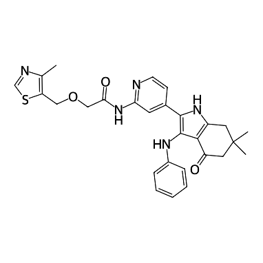 Cc1ncsc1COCC(=O)Nc1cc(-c2[nH]c3c(c2Nc2ccccc2)C(=O)CC(C)(C)C3)ccn1